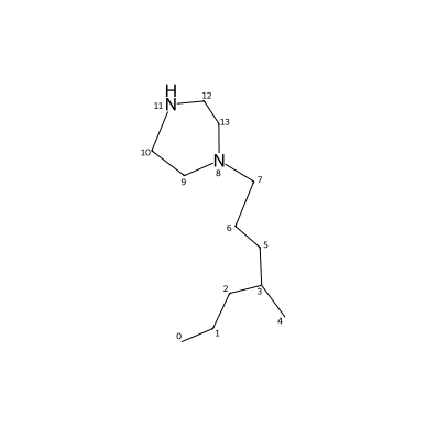 CCCC(C)CCCN1CCNCC1